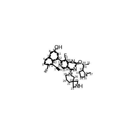 C#Cc1c(F)ccc2cc(O)cc(-c3ncc4c(N5CCCC6(CNC6)C5)nc(O[C@@H](C)C5CCCN5C)nc4c3F)c12